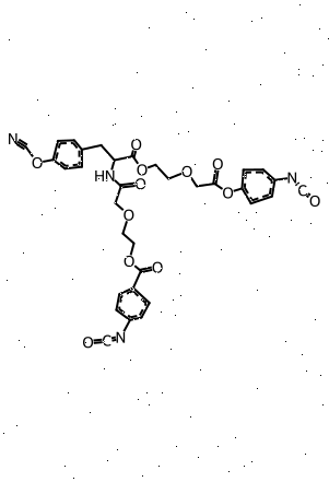 N#COc1ccc(CC(NC(=O)COCCOC(=O)c2ccc(N=C=O)cc2)C(=O)OCCOCC(=O)Oc2ccc(N=C=O)cc2)cc1